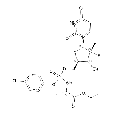 CCOC(=O)[C@H](C)NP(=O)(OC[C@H]1O[C@@H](n2ccc(=O)[nH]c2=O)[C@](C)(F)[C@@H]1O)Oc1ccc(Cl)cc1